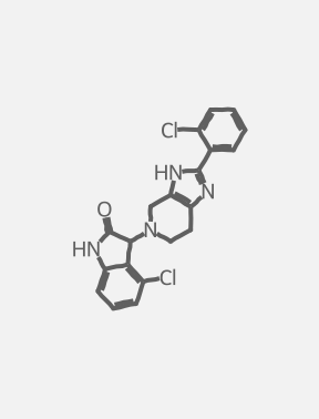 O=C1Nc2cccc(Cl)c2C1N1CCc2nc(-c3ccccc3Cl)[nH]c2C1